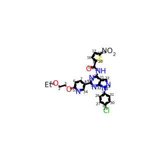 CCOCCOc1ccc(-c2nc(NC(=O)c3ccc([N+](=O)[O-])s3)c3cnn(-c4ccc(Cl)cc4)c3n2)cn1